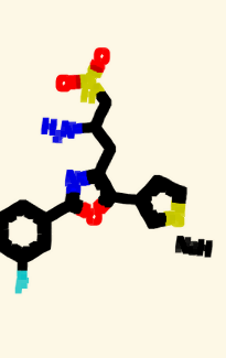 NC(Cc1nc(-c2cccc(F)c2)oc1-c1ccsc1)C[SH](=O)=O.[NaH]